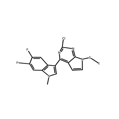 Cn1cc(-c2nc(Cl)nc3c2ccn3SI)c2cc(F)c(F)cc21